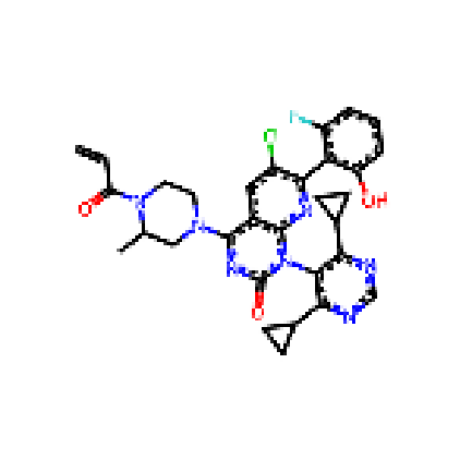 C=CC(=O)N1CCN(c2nc(=O)n(-c3c(C4CC4)ncnc3C3CC3)c3nc(-c4c(O)cccc4F)c(Cl)cc23)CC1C